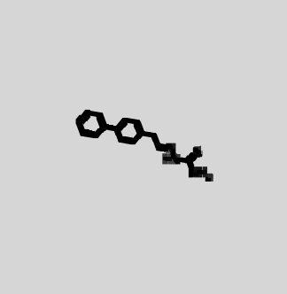 NC(=S)NN=CCc1ccc(-c2ccccc2)cc1